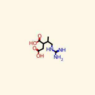 CC(CNC(=N)N)C(CC(=O)O)C(=O)O